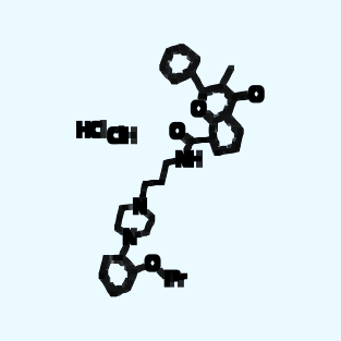 Cc1c(-c2ccccc2)oc2c(C(=O)NCCCN3CCN(c4ccccc4OC(C)C)CC3)cccc2c1=O.Cl.Cl